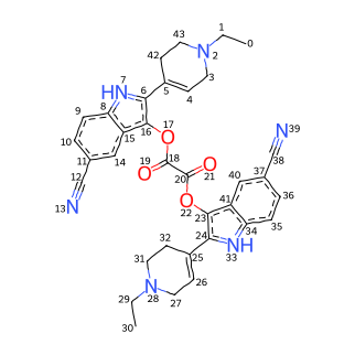 CCN1CC=C(c2[nH]c3ccc(C#N)cc3c2OC(=O)C(=O)Oc2c(C3=CCN(CC)CC3)[nH]c3ccc(C#N)cc23)CC1